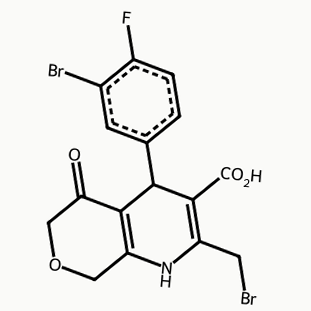 O=C(O)C1=C(CBr)NC2=C(C(=O)COC2)C1c1ccc(F)c(Br)c1